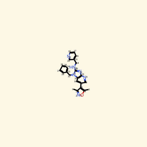 Cc1noc(C)c1-c1cnc2nc(NCc3cccnc3)n(Cc3ccccc3)c2c1